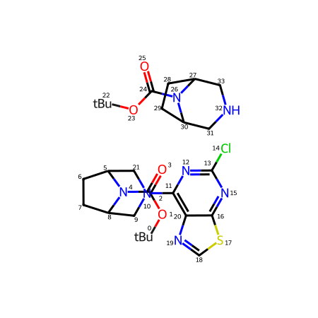 CC(C)(C)OC(=O)N1C2CCC1CN(c1nc(Cl)nc3scnc13)C2.CC(C)(C)OC(=O)N1C2CCC1CNC2